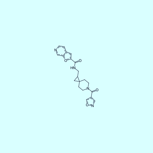 O=C(NCC1CC12CCN(C(=O)c1cnoc1)CC2)c1cc2ccncc2o1